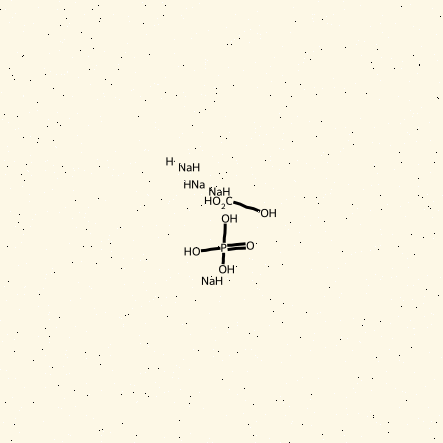 O=C(O)O.O=P(O)(O)O.[H].[NaH].[NaH].[NaH].[NaH]